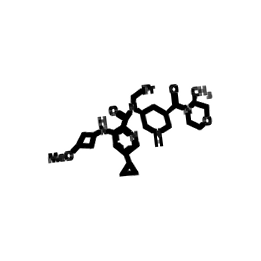 COC1CC(Nc2cc(C3CC3)cnc2C(=O)N(CC(C)C)[C@@H]2CNC[C@H](C(=O)N3CCOC[C@@H]3C)C2)C1